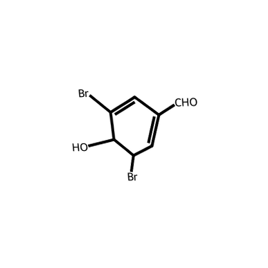 O=CC1=CC(Br)C(O)C(Br)=C1